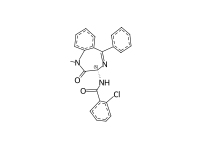 CN1C(=O)[C@@H](NC(=O)c2ccccc2Cl)N=C(c2ccccc2)c2ccccc21